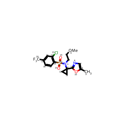 COCCN(C1(c2ncc(C)o2)CC1)S(=O)(=O)c1ccc(C(F)(F)F)cc1Cl